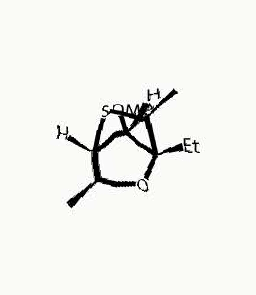 CC[C@]12O[C@@H](C)[C@H](S[C@H]1C)[C@@H]2OC